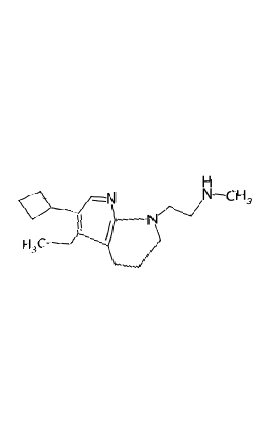 CCc1c(C2CCC2)cnc2c1CCCN2CCNC